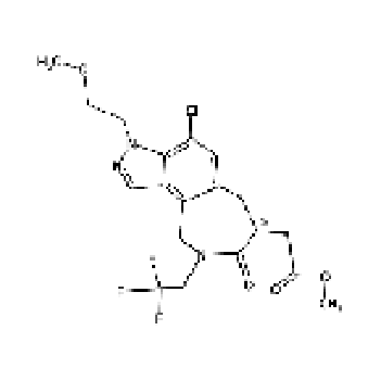 COCCn1ncc2c3c(cc(Cl)c21)C[C@@H](CC(=O)OC)C(=O)N(CC(F)(F)F)C3